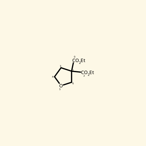 CCOC(=O)C1(C(=O)OCC)CCOC1